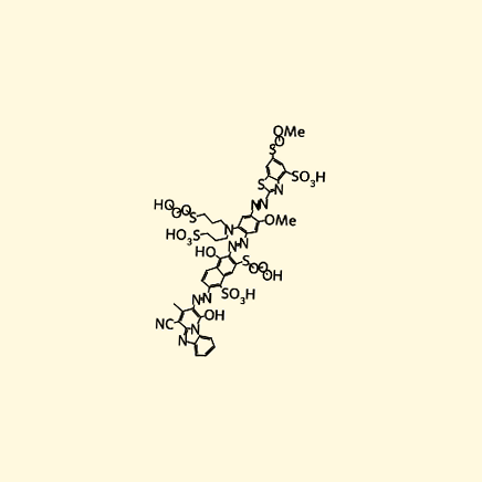 COOSc1cc(S(=O)(=O)O)c2nc(N=Nc3cc(N(CCCSOOO)CCCS(=O)(=O)O)c(N=Nc4c(SOOO)cc5c(S(=O)(=O)O)c(N=Nc6c(C)c(C#N)c7nc8ccccc8n7c6O)ccc5c4O)cc3OC)sc2c1